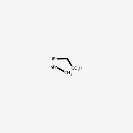 CC(C)CC(=O)O.CCCC